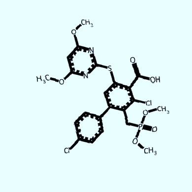 COc1cc(OC)nc(Sc2cc(-c3ccc(Cl)cc3)c(CP(=O)(OC)OC)c(Cl)c2C(=O)O)n1